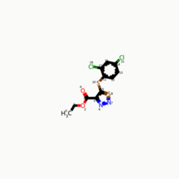 CCOC(=O)c1nnsc1Sc1ccc(Cl)cc1Cl